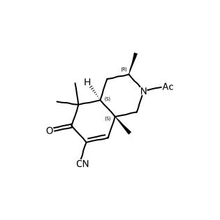 CC(=O)N1C[C@]2(C)C=C(C#N)C(=O)C(C)(C)[C@H]2C[C@H]1C